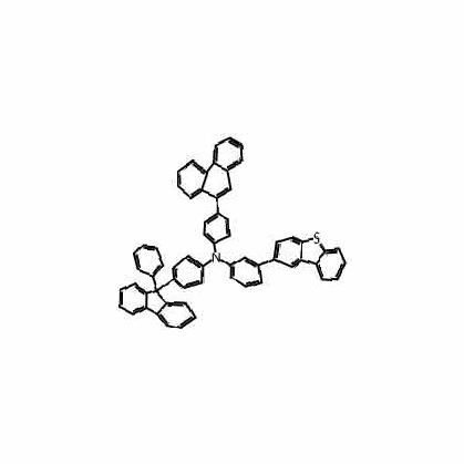 c1ccc(C2(c3ccc(N(c4ccc(-c5cc6ccccc6c6ccccc56)cc4)c4cccc(-c5ccc6sc7ccccc7c6c5)c4)cc3)c3ccccc3-c3ccccc32)cc1